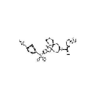 Cc1ccc(S(=O)(=O)OCC2(F)CCN(C(=O)OC(C)(C)C)CC23CCCC3)cc1